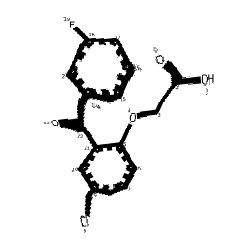 O=C(O)COc1ccc(Cl)cc1C(=O)c1cccc(F)c1